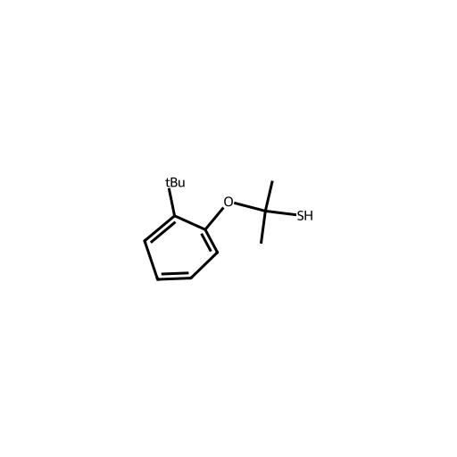 CC(C)(S)Oc1ccccc1C(C)(C)C